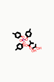 C=C(C)C(=O)O.CC(O)CO.Cc1ccc(OP(=O)(Oc2ccc(C)cc2)Oc2ccc(C)cc2)cc1